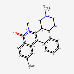 COc1ccc2c(=O)n(C)c(C3CCCN(C(=O)O)C3)c(-c3ccccc3)c2c1